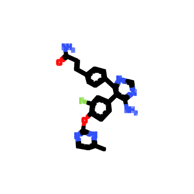 Cc1ccnc(Oc2ccc(-c3c(N)ncnc3-c3ccc(C=CC(N)=O)cc3)cc2F)n1